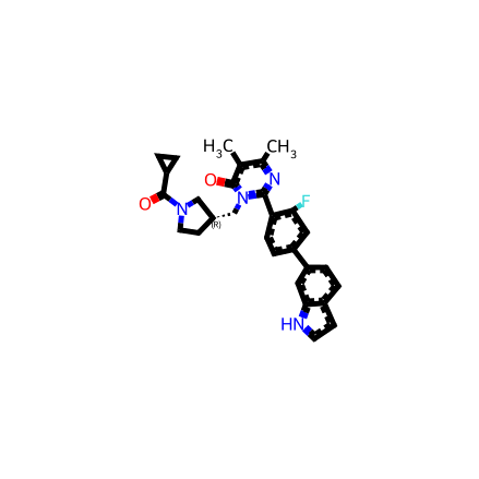 Cc1nc(-c2ccc(-c3ccc4cc[nH]c4c3)cc2F)n(C[C@@H]2CCN(C(=O)C3CC3)C2)c(=O)c1C